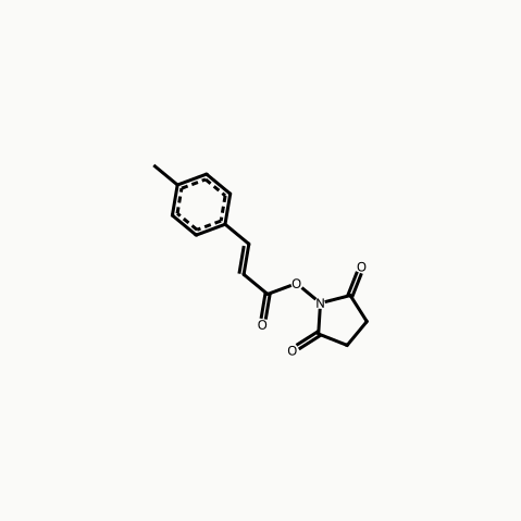 Cc1ccc(C=CC(=O)ON2C(=O)CCC2=O)cc1